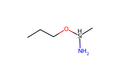 CCCO[SiH](C)N